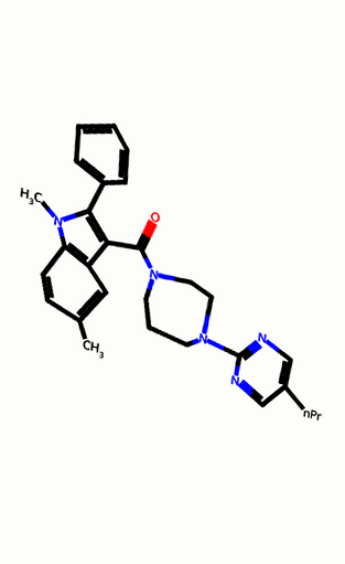 CCCc1cnc(N2CCCN(C(=O)c3c(-c4ccccc4)n(C)c4ccc(C)cc34)CC2)nc1